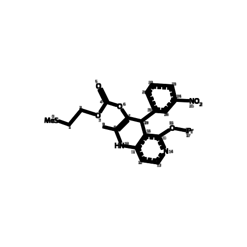 CSCCOC(=O)OC1=C(C)Nc2ccnc(OC(C)C)c2C1c1cccc([N+](=O)[O-])c1